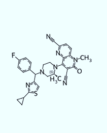 C[C@H]1CN(C(c2ccc(F)cc2)c2csc(C3CC3)n2)CCN1c1c(C#N)c(=O)n(C)c2ccc(C#N)nc12